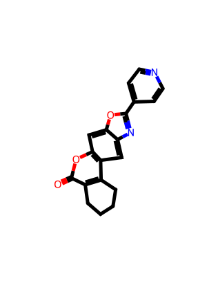 O=c1oc2cc3oc(-c4ccncc4)nc3cc2c2c1CCCC2